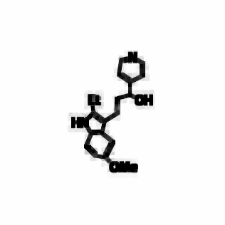 CCc1[nH]c2ccc(OC)cc2c1/C=C/C(O)c1ccncc1